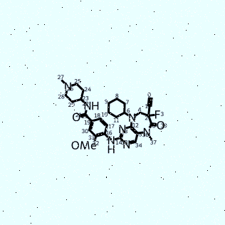 C#CC1(F)CN(C2CCCCC2)c2nc(Nc3ccc(C(=O)NC4CCN(C)CC4)cc3OC)ncc2N(C)C1=O